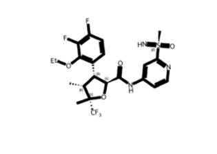 CCOc1c([C@@H]2[C@@H](C(=O)Nc3ccnc([S@](C)(=N)=O)c3)O[C@](C)(C(F)(F)F)[C@@H]2C)ccc(F)c1F